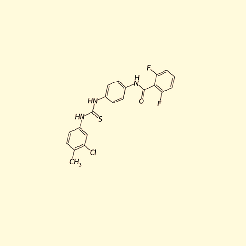 Cc1ccc(NC(=S)Nc2ccc(NC(=O)c3c(F)cccc3F)cc2)cc1Cl